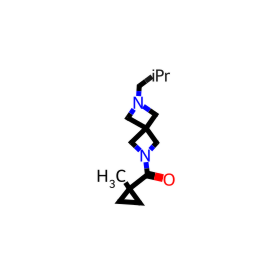 CC(C)CN1CC2(C1)CN(C(=O)C1(C)CC1)C2